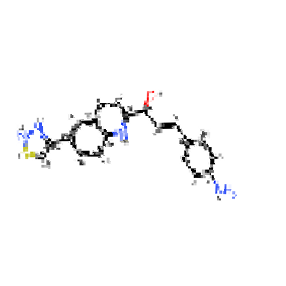 Nc1ccc(C=CC(=O)c2ccc3cc(-c4csnn4)ccc3n2)cc1